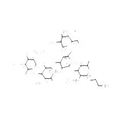 CC(=O)NC1C(O[C@@H]2OC(C)[C@@H](O[C@@H]3OC(CO)[C@@H](O)C(O)C3O)C(O[C@@H]3OC(C(=O)O)[C@@H](O)C(O)C3O[C@@H]3OC(C)[C@@H](O)C(O)[C@@H]3NC(C)=O)C2NC(C)=O)[C@@H](O)C(C)O[C@H]1OCCN